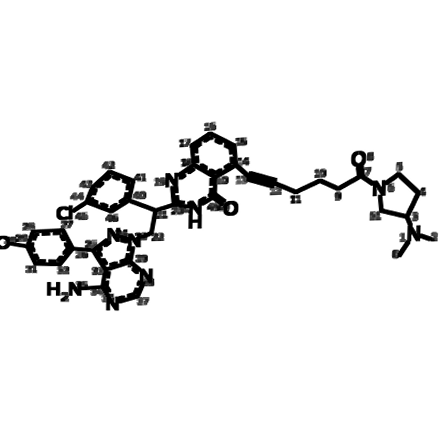 CN(C)C1CCN(C(=O)CCCC#Cc2cccc3nc(C(Cn4nc(-c5ccc(O)cc5)c5c(N)ncnc54)c4cccc(Cl)c4)[nH]c(=O)c23)C1